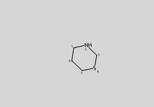 [CH]1CNCSC1